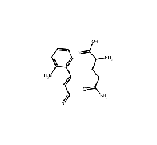 NC(=O)CCC(N)C(=O)O.Nc1ccccc1/C=C/C=O